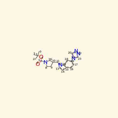 CC(C)(C)OC(=O)N1CCC(Cn2ccc3ccc(-n4cnnc4)cc32)C1